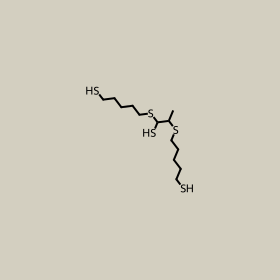 CC(SCCCCCS)C(S)SCCCCCS